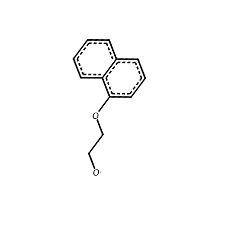 [O]CCOc1cccc2ccccc12